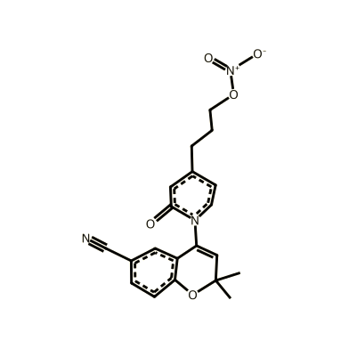 CC1(C)C=C(n2ccc(CCCO[N+](=O)[O-])cc2=O)c2cc(C#N)ccc2O1